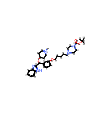 CN1CCC(OC(c2cccc(OCCCCCN3CCN(C(=O)OC(C)(C)C)CC3)c2)c2nc3ccccc3[nH]2)CC1